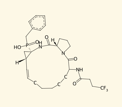 O=C(CCC(F)(F)F)NC1CCCCC/C=C\[C@@H]2C[C@@]2(P(=O)(O)Cc2ccccc2)NC(=O)[C@@H]2CCCN2C1=O